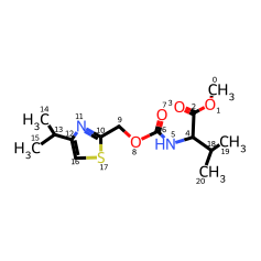 COC(=O)C(NC(=O)OCc1nc(C(C)C)cs1)C(C)C